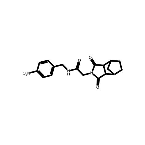 O=C(CN1C(=O)C2C3CCC(C3)C2C1=O)NCc1ccc([N+](=O)[O-])cc1